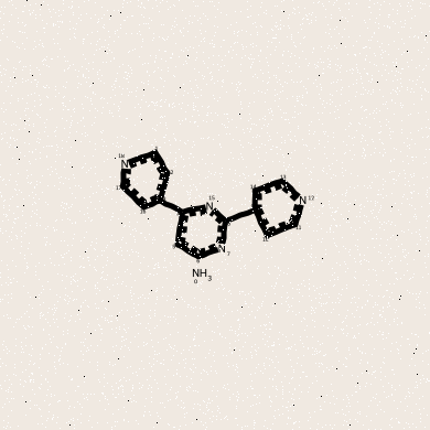 N.c1cc(-c2ccnc(-c3ccncc3)n2)ccn1